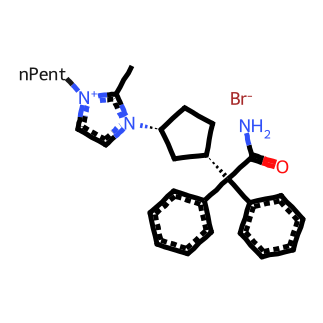 CCCCC[n+]1ccn([C@@H]2CC[C@H](C(C(N)=O)(c3ccccc3)c3ccccc3)C2)c1C.[Br-]